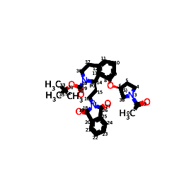 CC(=O)N1CC[C@H](Oc2cccc3c2[C@@H](CCN2C(=O)c4ccccc4C2=O)N(C(=O)OC(C)(C)C)CC3)C1